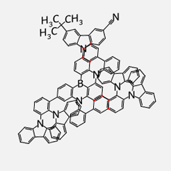 CC(C)(C)c1ccc2c(c1)c1cc(C#N)ccc1n2-c1ccc2c(c1)N(c1ccccc1-c1ccccc1)c1cc(-c3cccc(-n4c5ccccc5c5ccccc54)c3-n3c4ccccc4c4ccccc43)cc3c1B2c1ccc(-c2cccc(-n4c5ccccc5c5ccccc54)c2-n2c4ccccc4c4ccccc42)cc1N3c1ccccc1-c1ccccc1